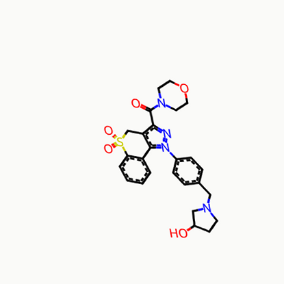 O=C(c1nn(-c2ccc(CN3CCC(O)C3)cc2)c2c1CS(=O)(=O)c1ccccc1-2)N1CCOCC1